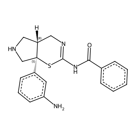 Nc1cccc([C@]23CNC[C@@H]2CN=C(NC(=O)c2ccccc2)S3)c1